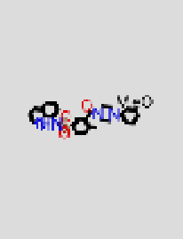 COc1ccccc1N1CCN(C(=O)c2cc(S(=O)(=O)Nc3cccc4cccnc34)ccc2C)CC1